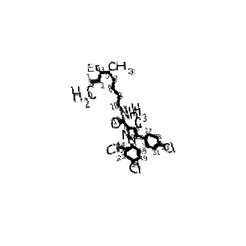 C=CCC(CC)C(C)CCCCNC(=O)c1nn(-c2ccc(Cl)cc2Cl)c(-c2ccc(Cl)cc2)c1C